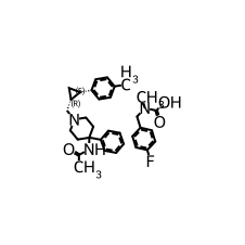 CC(=O)NC1(c2ccccc2)CCN(C[C@@H]2C[C@@H]2c2ccc(C)cc2)CC1.CN(Cc1ccc(F)cc1)C(=O)O